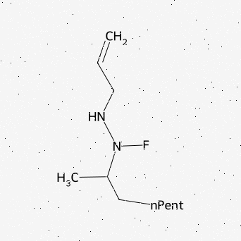 C=CCNN(F)C(C)CCCCCC